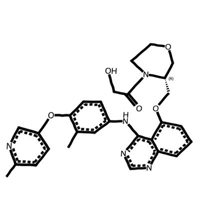 Cc1ccc(Oc2ccc(Nc3ncnc4cccc(OC[C@H]5COCCN5C(=O)CO)c34)cc2C)cn1